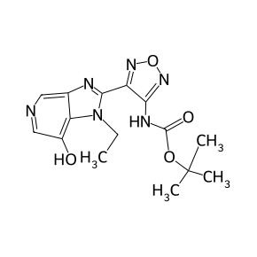 CCn1c(-c2nonc2NC(=O)OC(C)(C)C)nc2cncc(O)c21